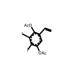 C=Cc1cc(OC(C)=O)c(I)c(I)c1OC(C)=O